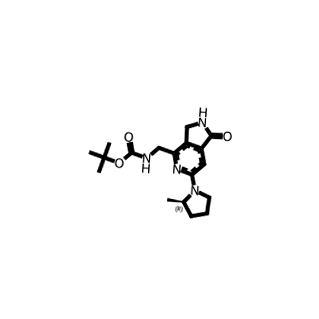 C[C@@H]1CCCN1c1cc2c(c(CNC(=O)OC(C)(C)C)n1)CNC2=O